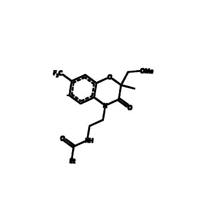 CCC(=O)NCCN1C(=O)C(C)(COC)Oc2cc(C(F)(F)F)[c]cc21